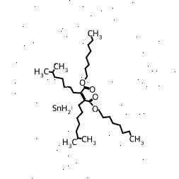 CCCCCCCCOC(=O)/C(CCCCCC(C)C)=C(/CCCCCC(C)C)C(=O)OCCCCCCCC.[SnH2]